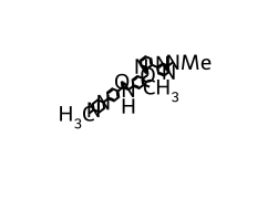 CNc1nccc(-c2cccnc2Oc2ccc(NC(=O)c3ccc(N4CCN(C)CC4)cc3)cc2C)n1